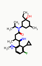 CCC1(O)CC(C)CC(N(C(=O)CC(C)C(=N)c2c(NC)ccc(F)c2C2CC2)C(C)C)C1